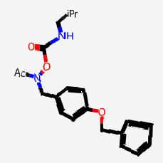 CC(=O)N(Cc1ccc(OCc2ccccc2)cc1)OC(=O)NCC(C)C